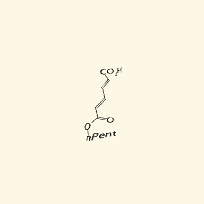 CCCCCOC(=O)/C=C/C=C/C(=O)O